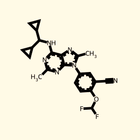 Cc1nc(NC(C2CC2)C2CC2)c2nc(C)n(-c3ccc(OC(F)F)c(C#N)c3)c2n1